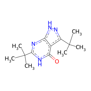 CC(C)(C)c1nc2[nH]nc(C(C)(C)C)c2c(=O)[nH]1